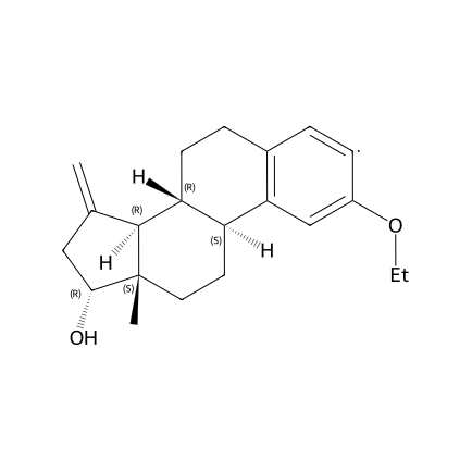 C=C1C[C@@H](O)[C@@]2(C)CC[C@@H]3c4cc(OCC)[c]cc4CC[C@H]3[C@H]12